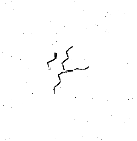 C=CCCl.CCC[CH2][Sn]([CH2]CCC)[CH2]CCC